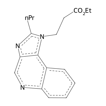 CCCc1nc2cnc3ccccc3c2n1CCC(=O)OCC